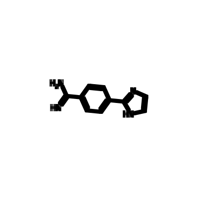 N=C(N)c1ccc(-c2ncc[nH]2)cc1